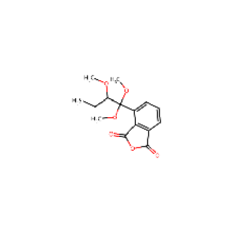 COC(C[SiH3])C(OC)(OC)c1cccc2c1C(=O)OC2=O